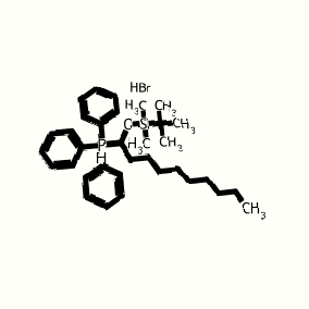 Br.CCCCCCCCCC(O[Si](C)(C)C(C)(C)C)[PH](c1ccccc1)(c1ccccc1)c1ccccc1